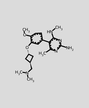 CNc1nc(N)nc(C)c1-c1ccc(OC)c(O[C@H]2C[C@H](CN(C)C)C2)c1